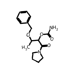 CC(OCc1ccccc1)C(OC(N)=O)C(=O)N1CCCC1